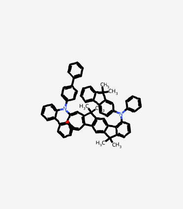 CC1(C)C2=C(C=C=CC(N(c3ccc(-c4ccccc4)cc3)c3ccccc3-c3ccccc3)=C2)c2cc3c(cc21)-c1c(N(c2ccccc2)c2ccc4c(c2)C(C)(C)c2ccccc2-4)cccc1C3(C)C